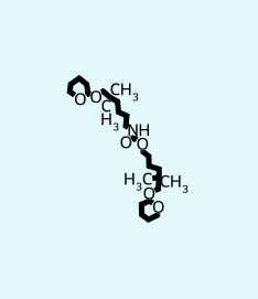 CC(C)(CCCCNC(=O)OCCCCC(C)(C)COC1CCCCO1)COC1CCCCO1